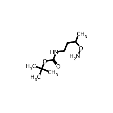 CC(CCNC(=O)OC(C)(C)C)ON